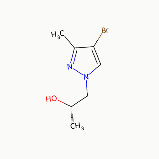 Cc1nn(C[C@H](C)O)cc1Br